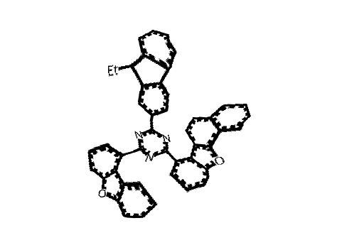 CCC1c2ccccc2-c2ccc(-c3nc(-c4cccc5oc6ccccc6c45)nc(-c4cccc5oc6c7ccccc7ccc6c45)n3)cc21